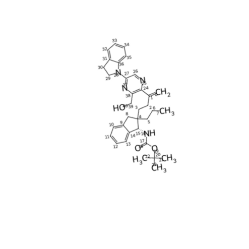 C=C(CCC1(CCC)Cc2ccccc2[C@H]1NC(=O)OC(C)(C)C)c1ncc(N2CCc3ccccc32)nc1CO